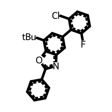 CC(C)(C)c1cc(-c2c(F)cccc2Cl)cc2nc(-c3ccccc3)oc12